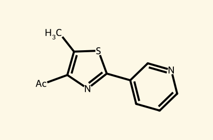 CC(=O)c1nc(-c2cccnc2)sc1C